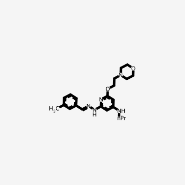 CCCNc1cc(N/N=C/c2cccc(C)c2)nc(OCCN2CCOCC2)c1